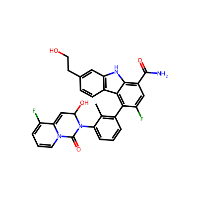 Cc1c(-c2c(F)cc(C(N)=O)c3[nH]c4cc(CCO)ccc4c23)cccc1N1C(=O)N2C=CC=C(F)C2=CC1O